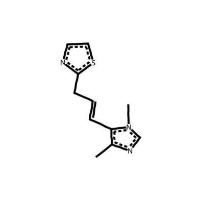 Cc1ncn(C)c1C=CCc1nccs1